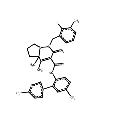 C=C1C(C(=O)Nc2ccc(C(F)(F)F)cc2-c2ccc(P)nc2)=C(C)C2(C)CCCN2N1Cc1cccc(C)c1F